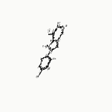 Cc1ccc(-n2cc3cnnc(C)c3n2)cc1